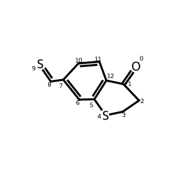 O=C1CCSc2cc(C=S)ccc21